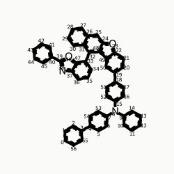 c1ccc(-c2ccc(N(c3ccccc3)c3ccc(-c4ccc5oc6cc7ccccc7c(-c7cccc8nc(-c9ccccc9)oc78)c6c5c4)cc3)cc2)cc1